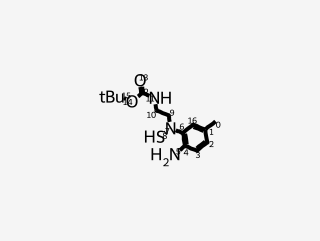 Cc1ccc(N)c(N(S)CCNC(=O)OC(C)(C)C)c1